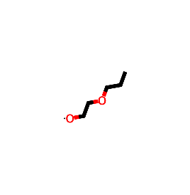 CCCOCC[O]